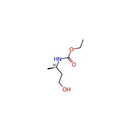 CCOC(=O)N[C@H](C)CCO